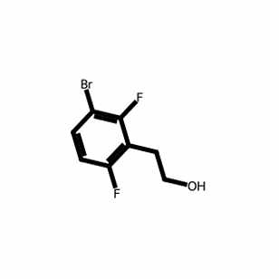 OCCc1c(F)ccc(Br)c1F